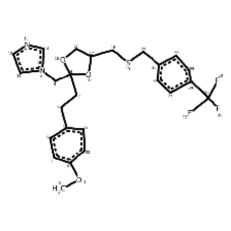 COc1ccc(CCC2(Cn3ccnc3)OCC(CSCc3ccc(C(F)(F)F)cc3)O2)cc1